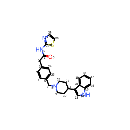 O=C(Cc1ccc(CN2CCC(c3c[nH]c4ccccc34)CC2)cc1)Nc1nccs1